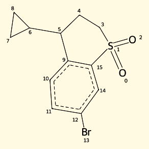 O=S1(=O)CCC(C2CC2)c2ccc(Br)cc21